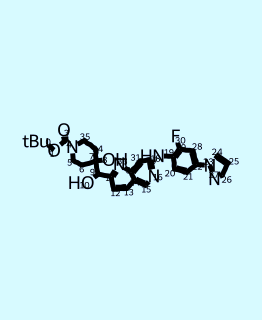 CC(C)(C)OC(=O)N1CCC(O)(C(O)c2ccc3cnc(Nc4ccc(-n5cccn5)cc4F)cc3n2)CC1